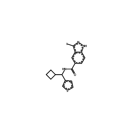 O=C(NC(c1ccsc1)C1CCC1)c1ccc2[nH]nc(I)c2c1